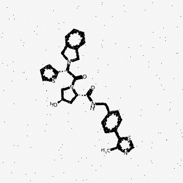 Cc1ncsc1-c1ccc(CNC(=O)[C@@H]2C[C@@H](O)CN2C(=O)[C@H](c2cccs2)N2Cc3ccccc3C2)cc1